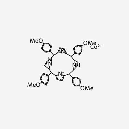 COc1ccc(C2c3ccc([n-]3)C(c3ccc(OC)cc3)C3C=CC(N3)C(c3ccc(OC)cc3)c3ccc([n-]3)C(c3ccc(OC)cc3)C3C=CC2N3)cc1.[Co+2]